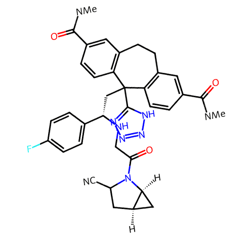 CNC(=O)c1ccc2c(c1)CCc1cc(C(=O)NC)ccc1C2(C[C@H](NCC(=O)N1C(C#N)C[C@@H]2C[C@@H]21)c1ccc(F)cc1)c1nnn[nH]1